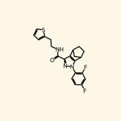 O=C(NCCc1cccs1)c1nn(-c2ccc(F)cc2F)c2c1C1CCC2C1